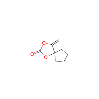 C=C1OC(=O)OC12CCCC2